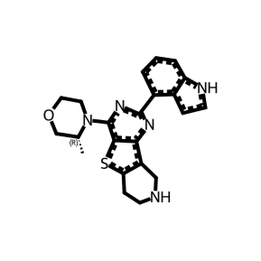 C[C@@H]1COCCN1c1nc(-c2cccc3[nH]ccc23)nc2c3c(sc12)CCNC3